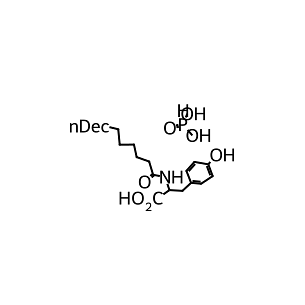 CCCCCCCCCCCCCCCC(=O)NC(Cc1ccc(O)cc1)C(=O)O.O=[PH](O)O